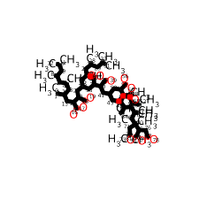 CCC(CC(C)CC(C)CC(C)C)CC1C(=O)OC(=O)C1CC(CC(C)CC(C)CC(C)C)CC1C(=O)OC(=O)C1CC(CC(C)CC(C)CC(C)C)CC1C(=O)OC(=O)C1CC(CC)CC(C)CC(C)(CC(C)C)C1CC(=O)OC1=O